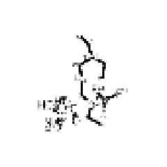 CCOCC.C[CH2][Al]([CH2]C)[CH2]C.FB(F)F.O=[C-]O.O=[C-]O.[Ni+2]